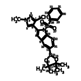 Cc1nn(C)cc1-c1cc2cc(B3OC(C)(C)C(C)(C)O3)cnc2n1S(=O)(=O)c1ccccc1